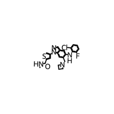 CNC(=O)c1cc(-n2ncc3cc(Nc4c(F)cccc4Cl)c(CN4CCC4)cc32)cs1